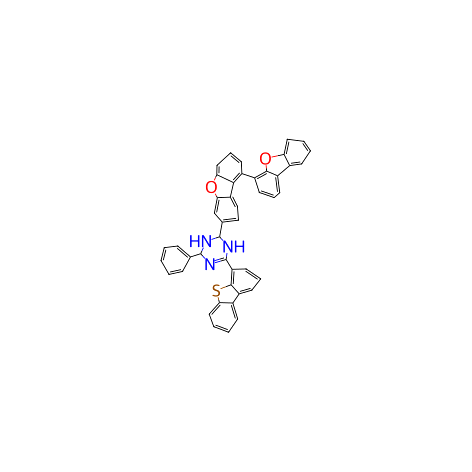 c1ccc(C2N=C(c3cccc4c3sc3ccccc34)NC(c3ccc4c(c3)oc3cccc(-c5cccc6c5oc5ccccc56)c34)N2)cc1